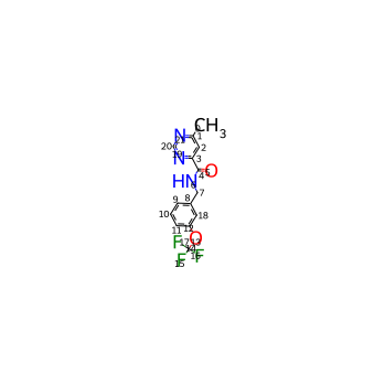 Cc1cc(C(=O)NCc2cccc(OC(F)(F)F)c2)ncn1